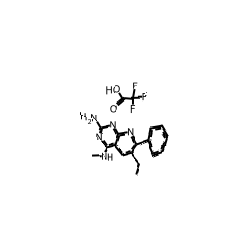 CCc1cc2c(NC)nc(N)nc2nc1-c1ccccc1.O=C(O)C(F)(F)F